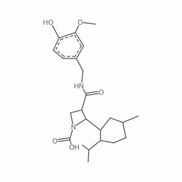 COc1cc(CNC(=O)C2CN(C(=O)O)C2C2CC(C)CCC2C(C)C)ccc1O